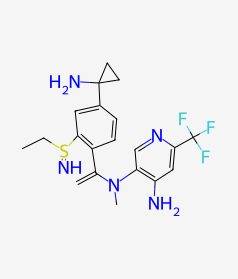 C=C(c1ccc(C2(N)CC2)cc1S(=N)CC)N(C)c1cnc(C(F)(F)F)cc1N